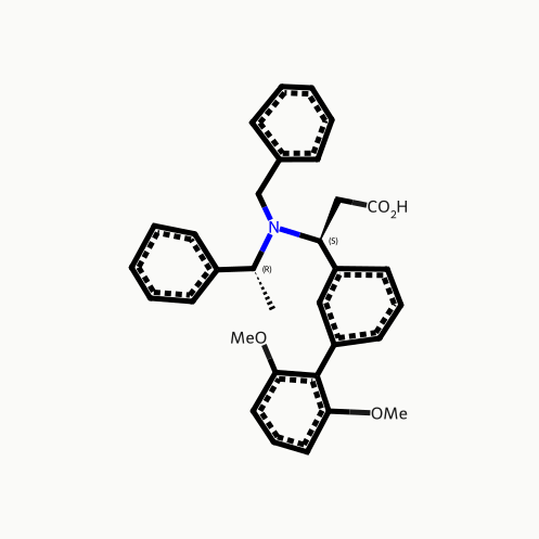 COc1cccc(OC)c1-c1cccc([C@H](CC(=O)O)N(Cc2ccccc2)[C@H](C)c2ccccc2)c1